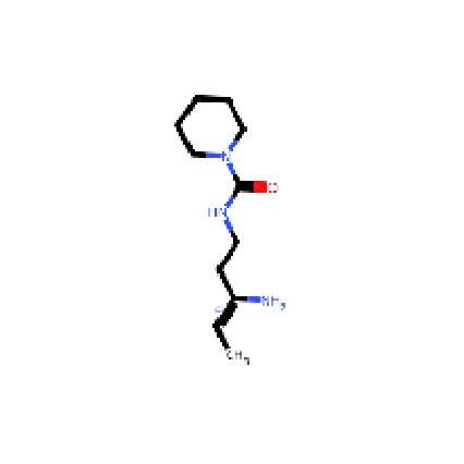 C/C=C(\N)CCNC(=O)N1CCCCC1